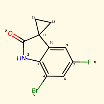 O=C1Nc2c(Br)cc(F)cc2C12CC2